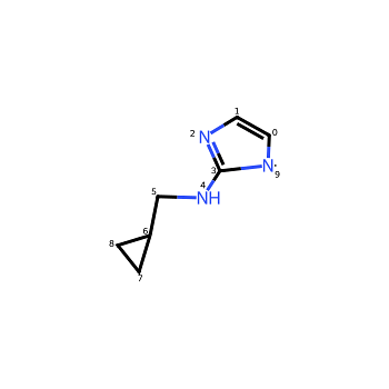 C1=CN=C(NCC2CC2)[N]1